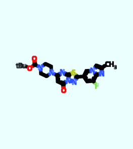 Cc1cn2cc(-c3nn4c(=O)cc(N5CCN(C(=O)OC(C)(C)C)CC5)nc4s3)cc(F)c2n1